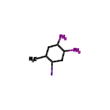 CC1CC(P)C(P)CC1I